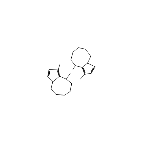 CC1=C2C(C=C1)CCCCC[CH]2[Zr+2][CH]1CCCCCC2C=CC(C)=C21.[Cl-].[Cl-]